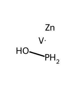 OP.[V].[Zn]